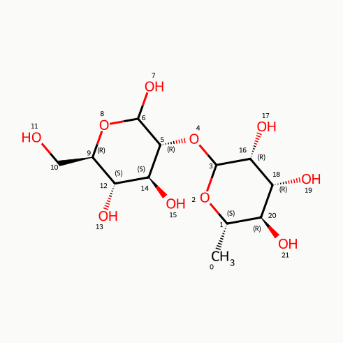 C[C@@H]1OC(O[C@H]2C(O)O[C@H](CO)[C@@H](O)[C@@H]2O)[C@H](O)[C@H](O)[C@H]1O